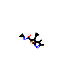 Cc1nnc2sc(C(=O)NC3CC3)c(C3CC3)c2c1C